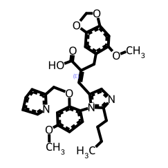 CCCCc1ncc(/C=C(\Cc2cc3c(cc2OC)OCO3)C(=O)O)n1-c1ccc(OC)cc1OCc1ccccn1